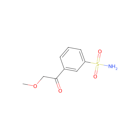 COCC(=O)c1cccc(S(N)(=O)=O)c1